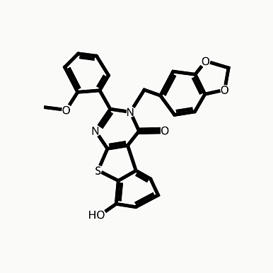 COc1ccccc1-c1nc2sc3c(O)cccc3c2c(=O)n1Cc1ccc2c(c1)OCO2